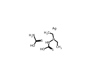 CCN(CC)NC(O)=S.NC(O)=S.[Ag]